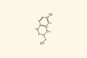 ClCC1COc2ccc(Cl)cc2O1